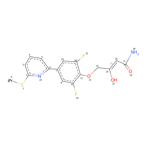 CC(C)Sc1cccc(-c2cc(F)c(OC/C(O)=C/C(N)=O)c(F)c2)n1